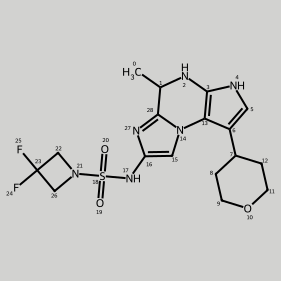 CC1Nc2[nH]cc(C3CCOCC3)c2-n2cc(NS(=O)(=O)N3CC(F)(F)C3)nc21